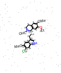 CCOc1cc2c(cc1OC)CCN(C=O)[C@H]2CCc1c[nH]c2cc(Cl)c(OC)cc12